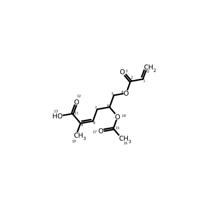 C=CC(=O)OCC(CC=C(C)C(=O)O)OC(C)=O